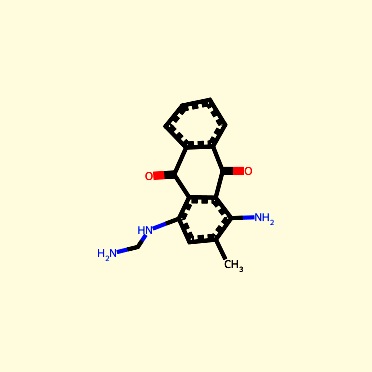 Cc1cc(NCN)c2c(c1N)C(=O)c1ccccc1C2=O